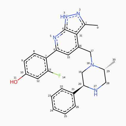 Cc1n[nH]c2nc(-c3ccc(O)cc3F)cc(CN3C[C@H](c4ccccc4)NC[C@H]3C)c12